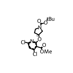 COC(=O)c1c(Cl)cc(Cl)nc1O[C@H]1CCN(C(=O)OC(C)(C)C)C1